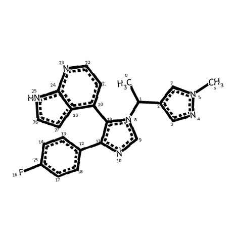 CC(c1cnn(C)c1)n1cnc(-c2ccc(F)cc2)c1-c1ccnc2[nH]ccc12